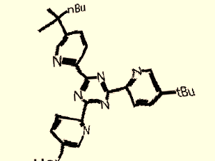 CCCCCCc1ccc(-c2nc(-c3ccc(C(C)(C)C)cn3)nc(-c3ccc(C(C)(C)CCCC)cn3)n2)nc1